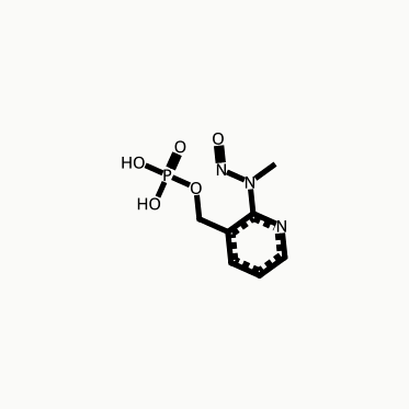 CN(N=O)c1ncccc1COP(=O)(O)O